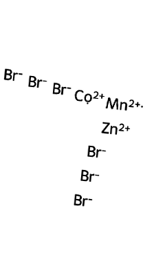 [Br-].[Br-].[Br-].[Br-].[Br-].[Br-].[Co+2].[Mn+2].[Zn+2]